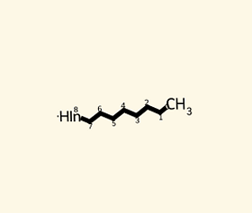 CCCCCCC[CH2][InH]